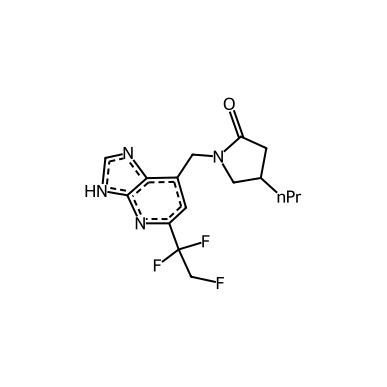 CCCC1CC(=O)N(Cc2cc(C(F)(F)CF)nc3[nH]cnc23)C1